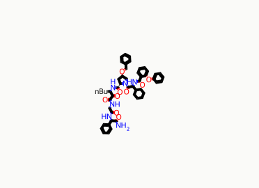 CCCCC(NC(=O)[C@@H]1C[C@@H](OCc2ccccc2)CN1C(=O)C(NC(=O)c1ccccc1Oc1ccccc1)C1CCCCC1)C(=O)C(=O)NCC(=O)NC(C(N)=O)c1ccccc1